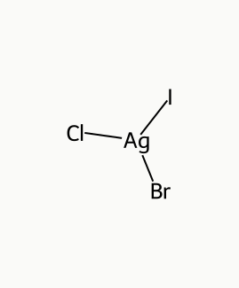 [Cl][Ag]([Br])[I]